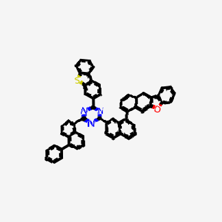 C1=CC2C=c3c(oc4ccccc34)=CC2C(c2cccc3ccc(-c4nc(-c5ccc6c(c5)sc5ccccc56)nc(-c5cccc6c(-c7ccccc7)cccc56)n4)cc23)=C1